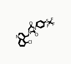 O=C1CN(Cc2ccnc3cccc(Cl)c23)C(=O)N1c1ccc(SC(F)(F)F)cc1